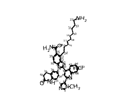 Cl.Cn1cncc1-c1cc(-c2nc3c(CCCCCCCCCCN)c(C(N)=O)ccc3n2-c2ccc3c(c2)CCC(=O)N3)c2ccccc2n1